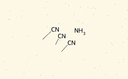 CC#N.CC#N.CC#N.N